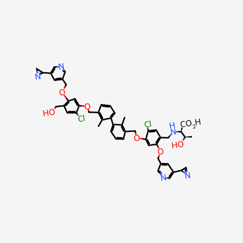 Cc1c(COc2cc(OCc3cncc(C4=NC4)c3)c(CO)cc2Cl)cccc1-c1cccc(COc2cc(OCc3cncc(C4C=N4)c3)c(CN[C@@H](C(=O)O)[C@@H](C)O)cc2Cl)c1C